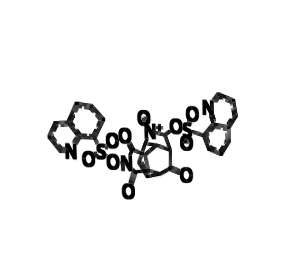 O=C1C2C=CC3C(C4C(=O)N(OS(=O)(=O)c5cccc6cccnc56)C(=O)C24)C1C(OS(=O)(=O)c1cccc2cccnc12)[N+]3=O